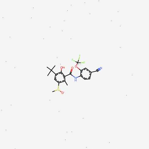 Cc1c([S+](C)[O-])cc(C(C)(C)C)c(O)c1C(=O)Nc1ccc(C#N)cc1OC(F)(F)F